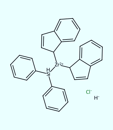 C1=C[CH]([Zr+2]([CH]2C=Cc3ccccc32)[SiH](c2ccccc2)c2ccccc2)c2ccccc21.[Cl-].[H-]